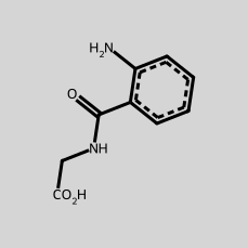 Nc1ccccc1C(=O)NCC(=O)O